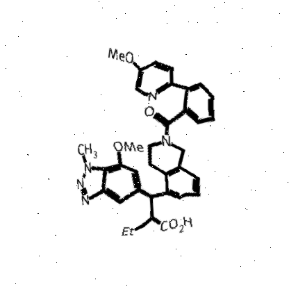 CCC(C(=O)O)C(c1cc(OC)c2c(c1)nnn2C)c1cccc2c1CCN(C(=O)c1ccccc1-c1ccc(OC)cn1)C2